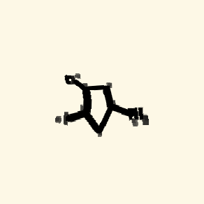 PC1=CC(Cl)=C(I)C1